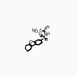 CC(C)[C@@H](NS(=O)(=O)c1ccc2c3c(oc2c1)CCCC3)C(=O)O